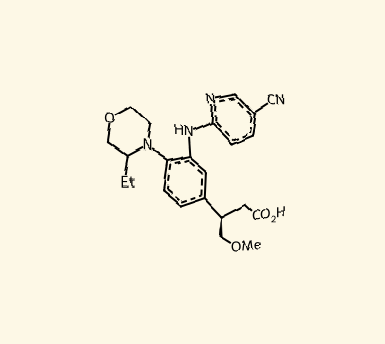 CCC1COCCN1c1ccc([C@H](COC)CC(=O)O)cc1Nc1ccc(C#N)cn1